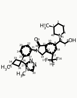 C[C@H]1CCCN(C(CO)c2cc3c(c(C(F)(F)F)c2)CN(c2cccc([C@]4(c5nncn5C)C[C@@H](C)C4)c2)C3=O)C1